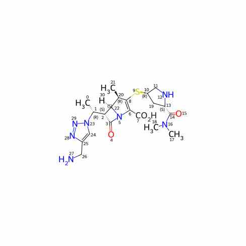 C[C@H]([C@H]1C(=O)N2C(C(=O)O)=C(S[C@H]3CN[C@H](C(=O)N(C)C)C3)[C@H](C)[C@H]12)n1cc(CN)nn1